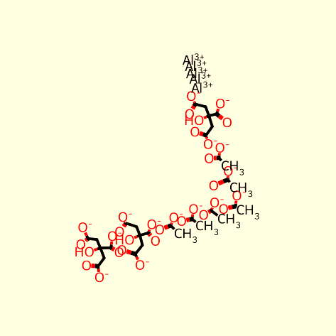 CC(=O)[O-].CC(=O)[O-].CC(=O)[O-].CC(=O)[O-].CC(=O)[O-].CC(=O)[O-].O=C([O-])CC(O)(CC(=O)[O-])C(=O)[O-].O=C([O-])CC(O)(CC(=O)[O-])C(=O)[O-].O=C([O-])CC(O)(CC(=O)[O-])C(=O)[O-].[Al+3].[Al+3].[Al+3].[Al+3].[Al+3]